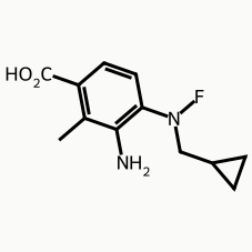 Cc1c(C(=O)O)ccc(N(F)CC2CC2)c1N